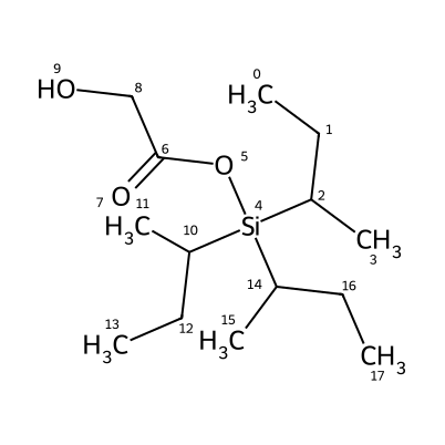 CCC(C)[Si](OC(=O)CO)(C(C)CC)C(C)CC